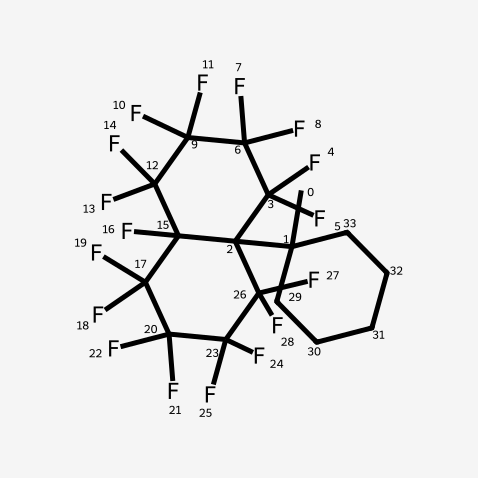 CC1(C23C(F)(F)C(F)(F)C(F)(F)C(F)(F)C2(F)C(F)(F)C(F)(F)C(F)(F)C3(F)F)CCCCC1